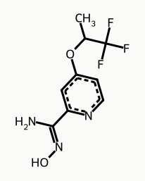 CC(Oc1ccnc(C(N)=NO)c1)C(F)(F)F